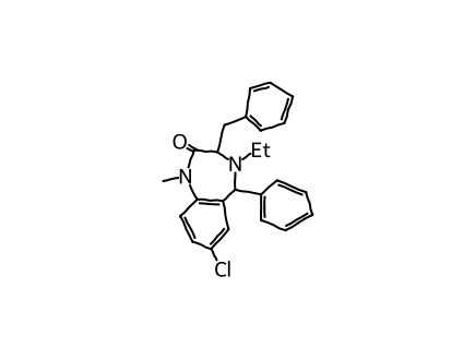 CCN1C(Cc2ccccc2)C(=O)N(C)c2ccc(Cl)cc2C1c1ccccc1